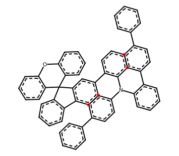 c1ccc(-c2ccc(-c3ccccc3N(c3ccc(-c4ccccc4)cc3)c3ccccc3-c3ccc4c(c3)C3(c5ccccc5Oc5ccccc53)c3ccccc3-4)cc2)cc1